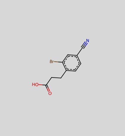 N#Cc1ccc(CCC(=O)O)c(Br)c1